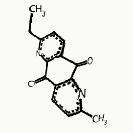 CCc1ccc2c(n1)C(=O)c1ccc(C)nc1C2=O